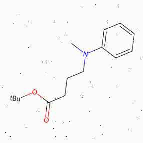 CN(CCCC(=O)OC(C)(C)C)c1ccccc1